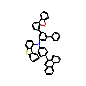 c1ccc(-c2cc(-c3cccc4c3oc3ccccc34)cc(N(c3ccc(-c4cc5ccccc5c5ccccc45)cc3)c3cccc4sc5ccccc5c34)c2)cc1